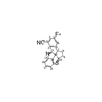 N#Cc1cc(F)cc(C2CCC(=S)C23C=Nc2ccccc23)c1